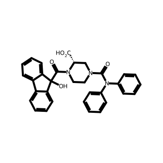 O=C(O)[C@@H]1CN(C(=O)N(c2ccccc2)c2ccccc2)CCN1C(=O)C1(O)c2ccccc2-c2ccccc21